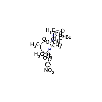 CCC(C)C(C)C1OC1CC(C)(C)/C=C/C=C(\C)C1OC(=O)CC(C)CCC(C)(C)C(OC(=O)Oc2ccc([N+](=O)[O-])cc2)/C=C/C1C